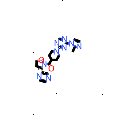 Cc1nccn1-c1ncnc(N2CCC(C(=O)N3OCC[C@H]3c3cnccn3)CC2)n1